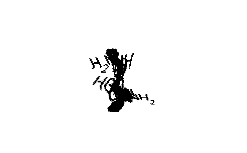 Nc1ccccc1C(=O)NS(=O)(=O)OC[C@H]1O[C@@H](n2cnc3c(N)nc(-c4ccccc4)nc32)[C@H](O)[C@@H]1O